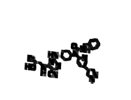 CCC(O)CNc1nc(N[C@H]2CC[C@H](N(C(=O)NCc3ccccc3)c3ccc(-c4cnn(C)c4)cn3)CC2)ncc1C#N